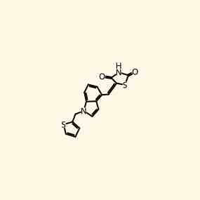 O=C1NC(=O)C(=Cc2cccc3c2ccn3Cc2cccs2)S1